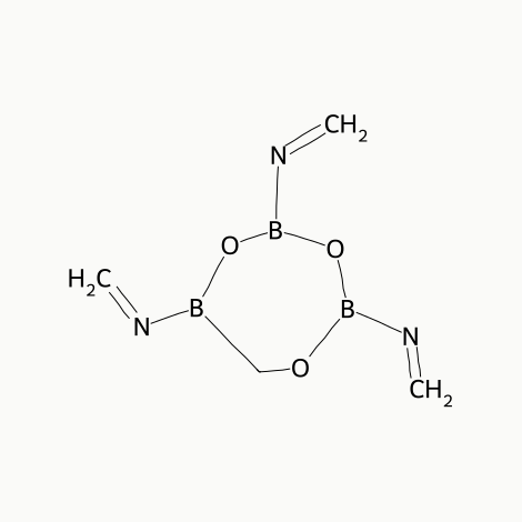 C=NB1COB(N=C)OB(N=C)O1